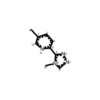 Cc1ccc(-c2nncn2C)nc1